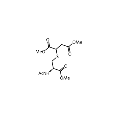 COC(=O)CC(SC[C@H](NC(C)=O)C(=O)OC)C(=O)OC